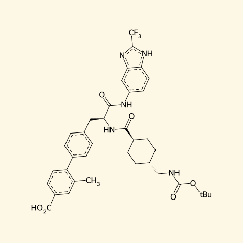 Cc1cc(C(=O)O)ccc1-c1ccc(C[C@H](NC(=O)[C@H]2CC[C@H](CNC(=O)OC(C)(C)C)CC2)C(=O)Nc2ccc3[nH]c(C(F)(F)F)nc3c2)cc1